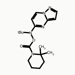 CC(C)(C)N(OC(=O)N1CCCCC1(C)C)c1ccn2nccc2n1